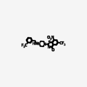 O=c1nc(N2CCN(NCc3cccc(C(F)(F)F)c3)CC2)sc2c([N+](=O)[O-])cc(C(F)(F)F)cc12